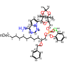 CCCCCCCCCCCCCCCCCC[C@@H](COP(=O)(OC[C@@]1(C)O[C@@H](c2ccc3c(N)ncnn23)[C@@H]2OC(C)(C)O[C@@H]21)Oc1ccccc1Cl)OCc1ccccc1